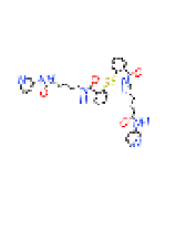 O=C(CCCCCNC(=O)c1ccccc1SSc1ccccc1C(=O)NCCCCCC(=O)Nc1cccnc1)Nc1cccnc1